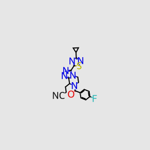 N#CCCC1c2nnc(-c3nc(C4CC4)ns3)n2CCN1C(=O)c1ccc(F)cc1